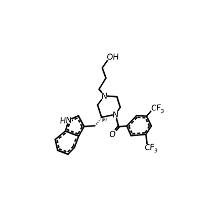 O=C(c1cc(C(F)(F)F)cc(C(F)(F)F)c1)N1CCN(CCCO)C[C@H]1Cc1c[nH]c2ccccc12